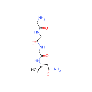 NCC(=O)NCC(=O)NCC(=O)N[C@@H](CC(N)=O)C(=O)O